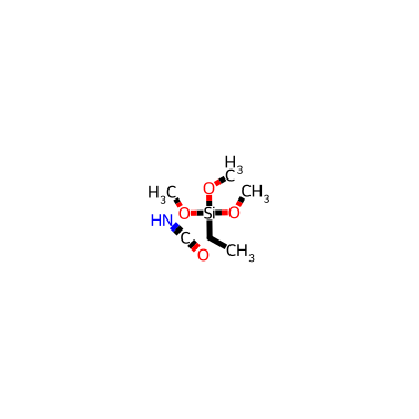 CC[Si](OC)(OC)OC.N=C=O